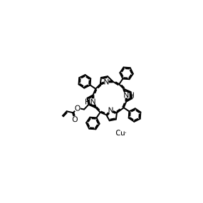 C=CC(=O)OCc1cc2[nH]c1c(-c1ccccc1)c1nc(c(-c3ccccc3)c3ccc([nH]3)c(-c3ccccc3)c3nc(c2-c2ccccc2)C=C3)C=C1.[Cu]